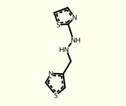 c1csc(NNCc2cscn2)n1